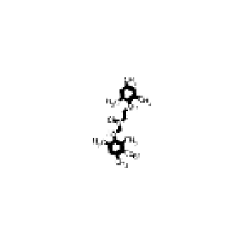 Cc1cc(C)c(NCCN(Cl)CNc2c(C)cc(C)[c]([Co][Cl])c2C)c(C)c1